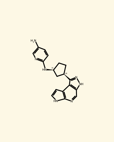 Nc1ccc(N[C@H]2CC[C@@H](c3n[nH]c4cnc5[nH]ccc5c34)C2)nc1